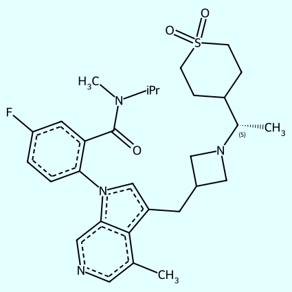 Cc1cncc2c1c(CC1CN([C@@H](C)C3CCS(=O)(=O)CC3)C1)cn2-c1ccc(F)cc1C(=O)N(C)C(C)C